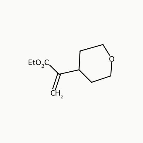 C=C(C(=O)OCC)C1CCOCC1